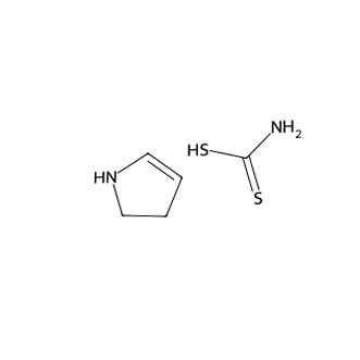 C1=CNCC1.NC(=S)S